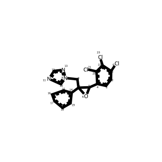 Clc1ccc(C2OC2(Cn2cncn2)c2ccccc2)c(Cl)c1Cl